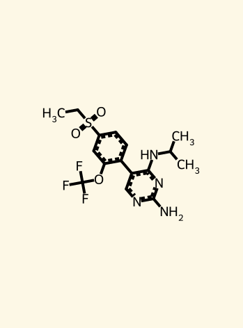 CCS(=O)(=O)c1ccc(-c2cnc(N)nc2NC(C)C)c(OC(F)(F)F)c1